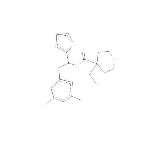 CC(C)CC1(C(=O)NC(Cc2cc(C(F)(F)F)cc(C(F)(F)F)c2)c2ccco2)CCNCC1